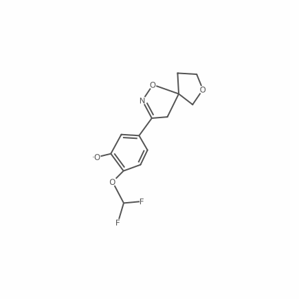 [O]c1cc(C2=NOC3(CCOC3)C2)ccc1OC(F)F